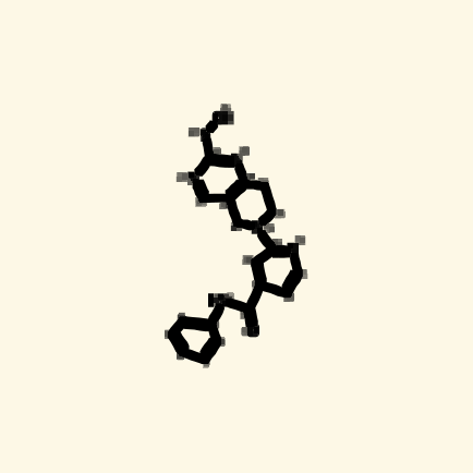 O=C(Nc1ccccc1)c1ccnc(N2CCc3nc(SO)ncc3C2)c1